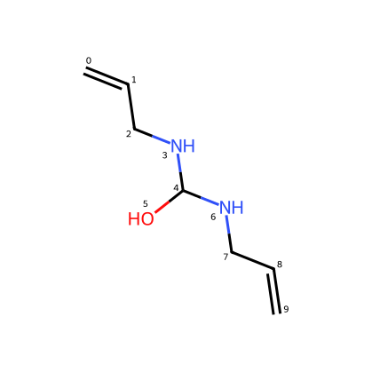 C=CCNC(O)NCC=C